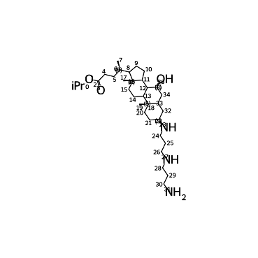 CC(C)OC(=O)CC[C@@H](C)C1CCC2C3C(CC[C@@]21C)[C@@]1(C)CC[C@H](NCCCNCCCN)CC1C[C@@H]3O